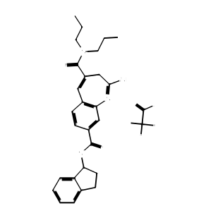 CCCN(CCC)C(=O)C1=Cc2ccc(C(=O)NC3CCc4ccccc43)cc2N=C(N)C1.O=C(O)C(F)(F)F